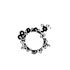 CC[C@H](C)[C@@H]1NC(=O)[C@H](CC(C)C)N(C)C(=O)C[C@@H](C(=O)N2CCCCC2)N(C)C(=O)[C@H](C2CCCCC2)N(C)C(=O)C2(CCCC2)NC(=O)[C@@H]2CCCN2C(=O)[C@H](CCc2ccc(C(F)(F)F)c(Cl)c2)NC(=O)CN(C)C(=O)[C@H](CC(C)C)N(C)C(=O)CN(C)C(=O)CN(C)C1=O